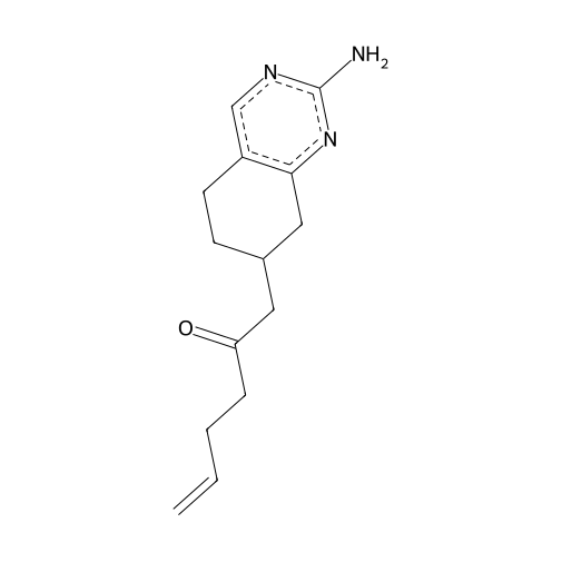 C=CCCC(=O)CC1CCc2cnc(N)nc2C1